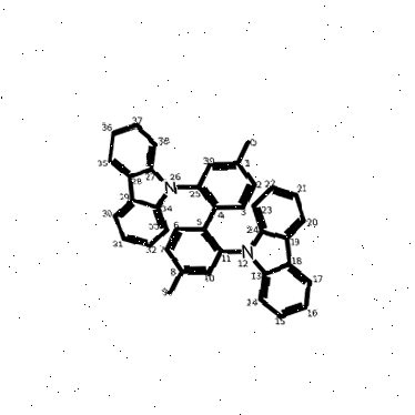 Cc1ccc(-c2ccc(C)cc2-n2c3ccccc3c3ccccc32)c(-n2c3c(c4ccccc42)=CCCC=3)c1